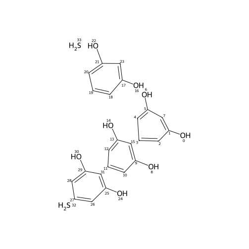 Oc1cccc(O)c1.Oc1cccc(O)c1.Oc1cccc(O)c1.Oc1cccc(O)c1.S.S